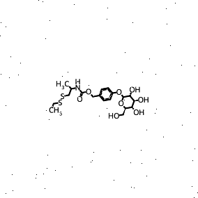 CCSSCC(C)NC(=O)OCc1ccc(OC2O[C@H](CO)[C@H](O)[C@H](O)C2O)cc1